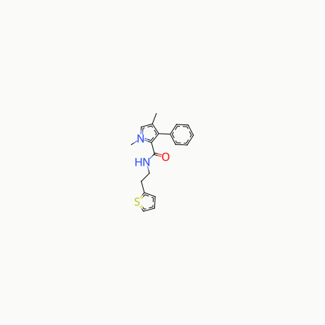 Cc1cn(C)c(C(=O)NCCc2cccs2)c1-c1ccccc1